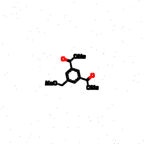 COCc1cc(C(=O)OC)cc(C(=O)OC)c1